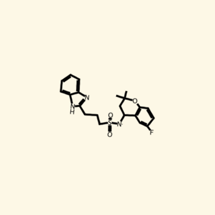 CC1(C)CC([N]S(=O)(=O)CCCc2nc3ccccc3[nH]2)c2cc(F)ccc2O1